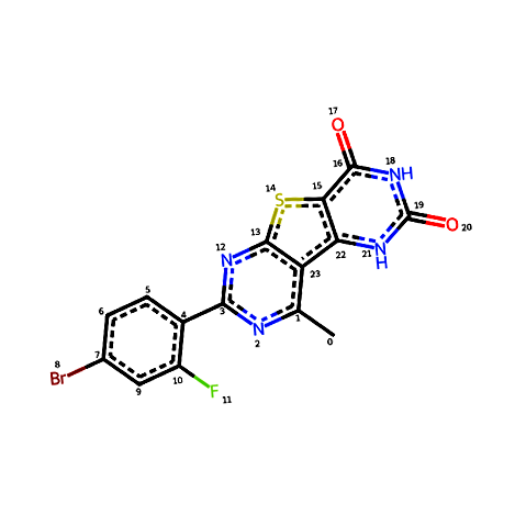 Cc1nc(-c2ccc(Br)cc2F)nc2sc3c(=O)[nH]c(=O)[nH]c3c12